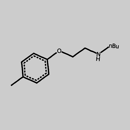 CCCCNCCOc1ccc(C)cc1